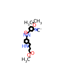 [C-]#[N+]c1cc(-c2nc(-c3ccc4[nH]c(/C=C/C(=O)OCC)cc4c3)no2)ccc1OC(C)C